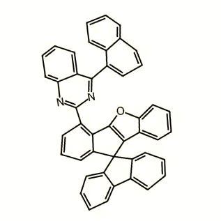 c1ccc2c(c1)-c1ccccc1C21c2cccc(-c3nc(-c4cccc5ccccc45)c4ccccc4n3)c2-c2oc3ccccc3c21